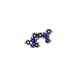 N#Cc1ccccc1-c1nc(-c2cccc3c2sc2cc(-c4nc(-c5ccccc5)nc(-c5ccccc5)n4)ccc23)nc2c1sc1ccccc12